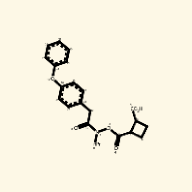 CCCN(OC(=O)C1CCC1C(=O)O)C(=O)Cc1ccc(Oc2ccccc2)cc1